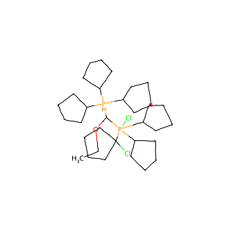 CCOC([PH](C1CCCC1)(C1CCCC1)C1CCCC1)P(Cl)(C1CCCC1)(C1CCCC1)C1(Cl)CCCC1